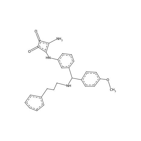 COc1ccc(C(NCCCc2ccccc2)c2cccc(Nc3c(N)c(=O)c3=O)c2)cc1